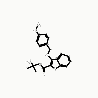 CC(C)(NC(=O)c1sc2ccccc2c1OCc1ccc(OC(F)(F)F)cc1)C(=O)O